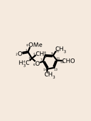 COC(=O)C(C)(C)Oc1cc(C)c(C=O)cc1C